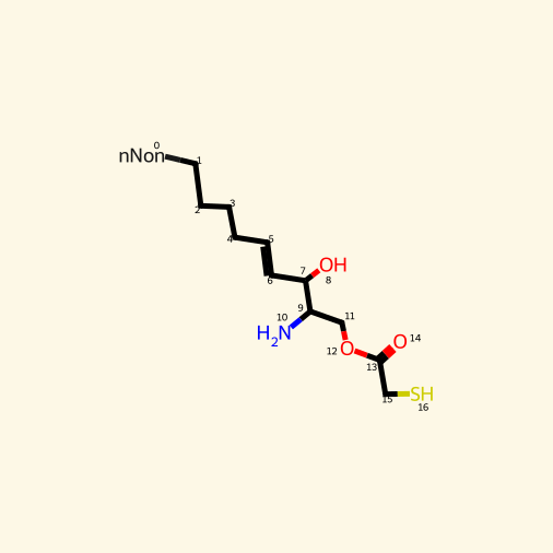 CCCCCCCCCCCCCC=CC(O)C(N)COC(=O)CS